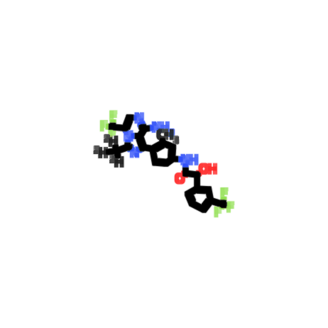 [2H]C([2H])([2H])c1nc(-c2ccc(NC(=O)C(O)c3cccc(C(F)(F)F)c3)cc2C)c2c(N)ncc(C(F)(F)F)n12